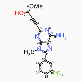 COC(O)C#Cc1nc(N)c2nc(-c3cccc(F)c3)n(C)c2n1